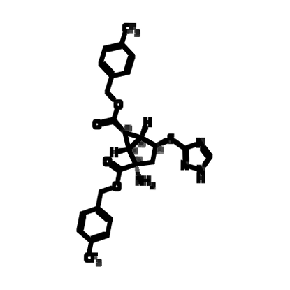 N[C@@]1(C(=O)OCc2ccc(C(F)(F)F)cc2)C[C@H](Sc2nc[nH]n2)[C@H]2[C@H](C(=O)OCc3ccc(C(F)(F)F)cc3)[C@H]21